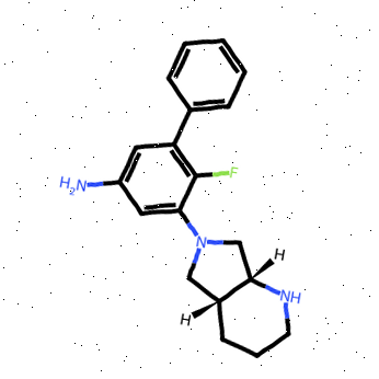 Nc1cc(-c2ccccc2)c(F)c(N2C[C@H]3CCCN[C@H]3C2)c1